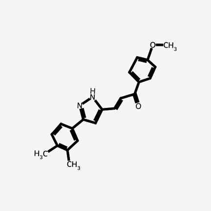 COc1ccc(C(=O)C=Cc2cc(-c3ccc(C)c(C)c3)n[nH]2)cc1